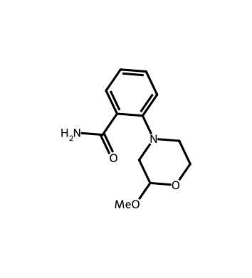 COC1CN(c2ccccc2C(N)=O)CCO1